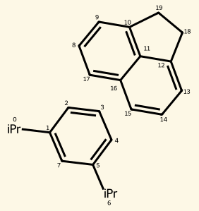 CC(C)c1cccc(C(C)C)c1.c1cc2c3c(cccc3c1)CC2